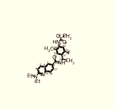 CCN(CC)c1ccc2cc(C(=O)NC(C)c3cc(C)c(NS(C)(=O)=O)cc3F)ccc2n1